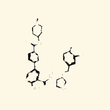 CCc1cc(CO[C@H]2CNC[C@@H]2NC(=O)c2cc(-c3ccc(C(=O)NC4CCN(C)CC4)cc3)cnc2N)ccc1C